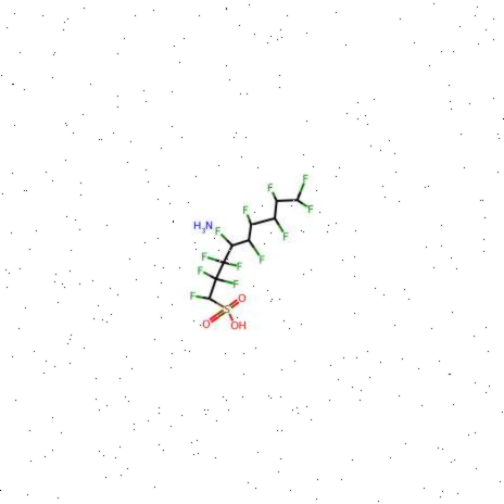 N.O=S(=O)(O)C(F)C(F)(F)C(F)(F)C(F)C(F)C(F)C(F)C(F)C(F)F